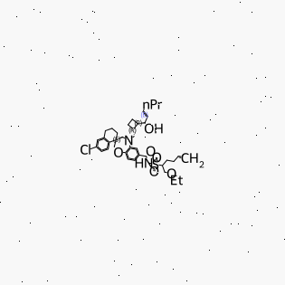 C=CCCC(COCC)S(=O)(=O)NC(=O)c1ccc2c(c1)N(C[C@@H]1CC[C@H]1C(O)/C=C/CCC)C[C@@]1(CCCc3cc(Cl)ccc31)CO2